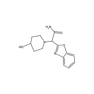 NC(=O)C(c1nc2ccccc2s1)N1CCC(O)CC1